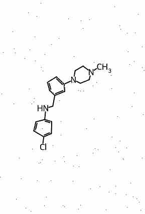 CN1CCN(c2cccc(CNc3ccc(Cl)cc3)c2)CC1